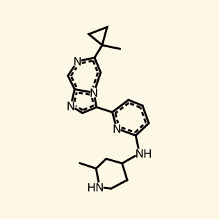 CC1CC(Nc2cccc(-c3cnc4cnc(C5(C)CC5)cn34)n2)CCN1